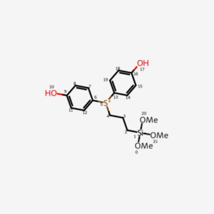 CO[Si](CCC[S+](c1ccc(O)cc1)c1ccc(O)cc1)(OC)OC